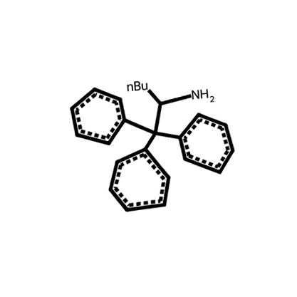 CCCCC(N)C(c1ccccc1)(c1ccccc1)c1ccccc1